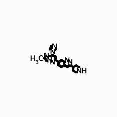 Cc1cn2nc(-c3ccc4cc(C5CCNCC5)nnc4c3)cc(-n3ccnc3)c2n1